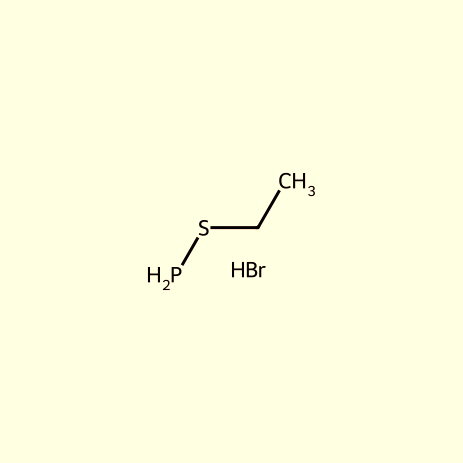 Br.CCSP